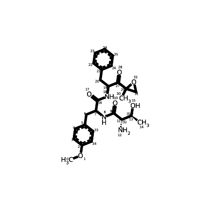 COc1ccc(CC(NC(=O)[C@@H](N)[C@H](C)O)C(=O)NC(Cc2ccccc2)C(=O)C2(C)CO2)cc1